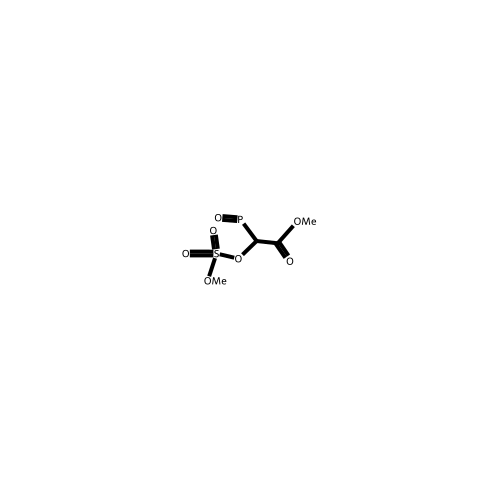 COC(=O)C(OS(=O)(=O)OC)P=O